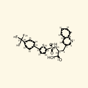 O=C(O)[C@H](Cc1cnc2ccccc2c1)NS(=O)(=O)c1ccc(-c2ccc(C(F)(F)F)cc2)s1